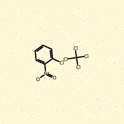 ClC(Cl)(Cl)Cl.O=[N+]([O-])c1ccccc1Cl